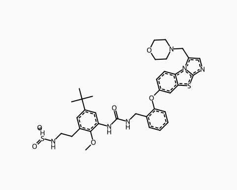 COc1c(CCN[SH](=O)=O)cc(C(C)(C)C)cc1NC(=O)NCc1ccccc1Oc1ccc2c(c1)sc1ncc(CN3CCOCC3)n12